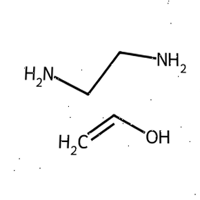 C=CO.NCCN